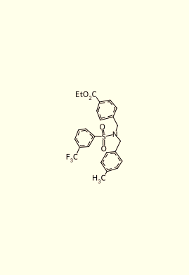 CCOC(=O)c1ccc(CN(Cc2ccc(C)cc2)S(=O)(=O)c2cccc(C(F)(F)F)c2)cc1